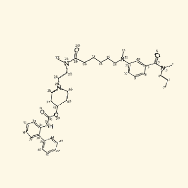 CCCN(C)C(=O)c1cccc(N(C)CCCCCC(=O)N(C)CCN2CCC(OC(=O)Nc3ccccc3-c3ccccc3)CC2)c1